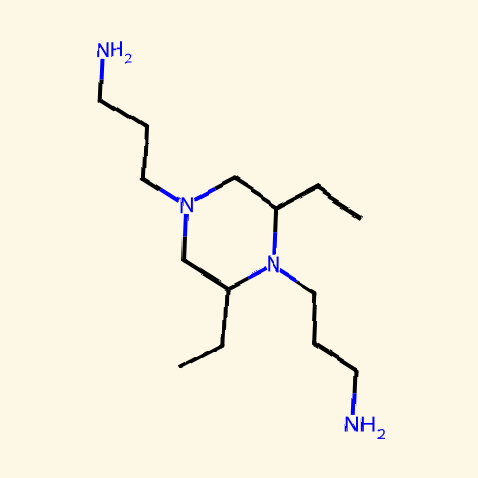 CCC1CN(CCCN)CC(CC)N1CCCN